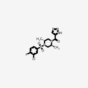 C[C@@H]1CN(C(=O)c2cnn[nH]2)[C@@H](C)CN1S(=O)(=O)c1ccc(F)c(Cl)c1